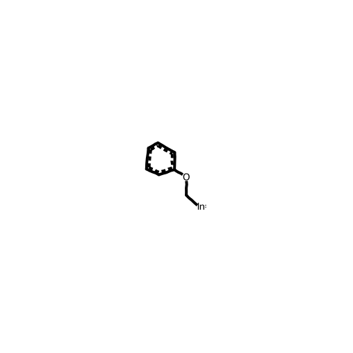 [In][CH2]Oc1ccccc1